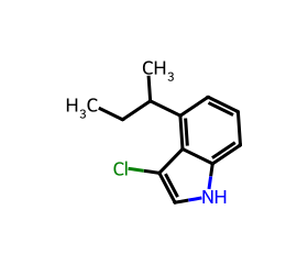 CCC(C)c1cccc2[nH]cc(Cl)c12